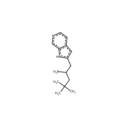 CC(C)(C)CC(N)Cc1cc2ccncc2[nH]1